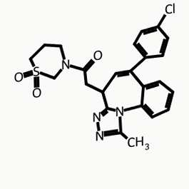 Cc1nnc2n1-c1ccccc1C(c1ccc(Cl)cc1)=CC2CC(=O)N1CCCS(=O)(=O)C1